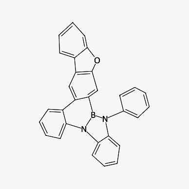 c1ccc(N2B3c4cc5oc6ccccc6c5cc4-c4ccccc4N3c3ccccc32)cc1